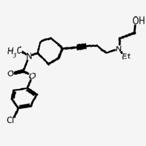 CCN(CCO)CCC#CC1CCC(N(C)C(=O)Oc2ccc(Cl)cc2)CC1